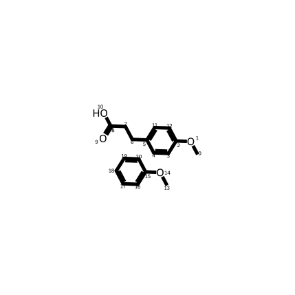 COc1ccc(CCC(=O)O)cc1.COc1ccccc1